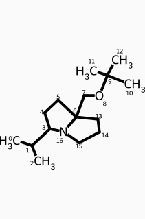 CC(C)C1CCC2(COC(C)(C)C)CCCN12